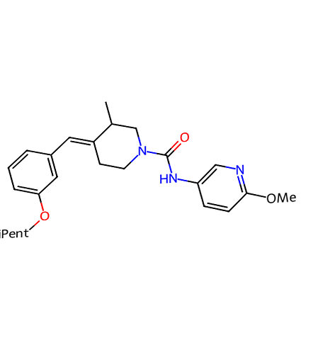 CCCC(C)Oc1cccc(/C=C2\CCN(C(=O)Nc3ccc(OC)nc3)CC2C)c1